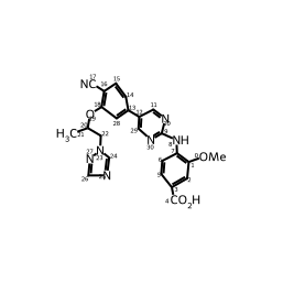 COc1cc(C(=O)O)ccc1Nc1ncc(-c2ccc(C#N)c(OC(C)Cn3cncn3)c2)cn1